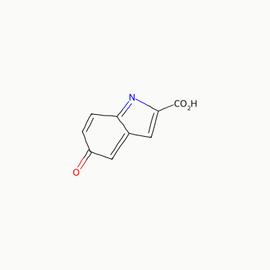 O=C1C=CC2=NC(C(=O)O)=CC2=C1